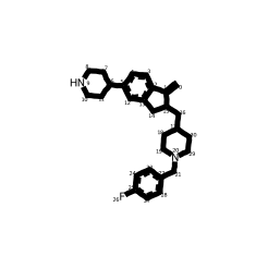 C=C1c2ccc(C3CCNCC3)cc2CC1CC1CCN(Cc2ccc(F)cc2)CC1